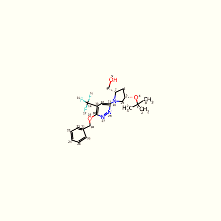 CC(C)(C)O[C@H]1C[C@@H](CO)N(c2cc(C(F)(F)F)c(OCc3ccccc3)nn2)C1